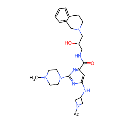 CC(=O)N1CC(Nc2cc(C(=O)NCC(O)CN3CCc4ccccc4C3)nc(N3CCN(C)CC3)n2)C1